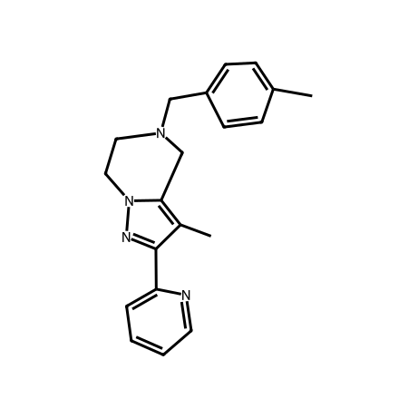 Cc1ccc(CN2CCn3nc(-c4ccccn4)c(C)c3C2)cc1